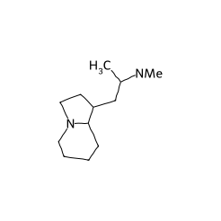 CNC(C)CC1CCN2CCCCC12